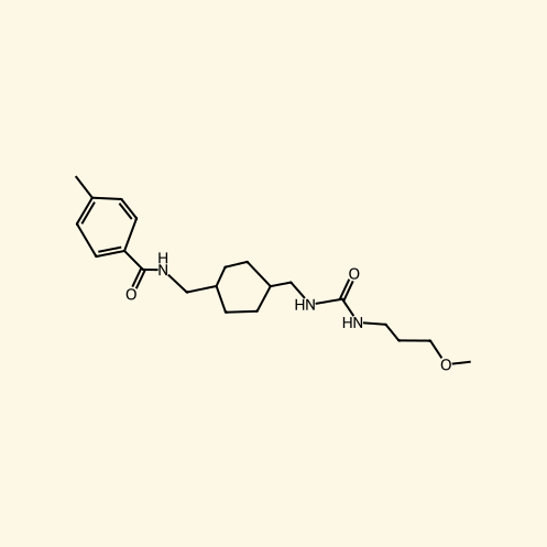 COCCCNC(=O)NCC1CCC(CNC(=O)c2ccc(C)cc2)CC1